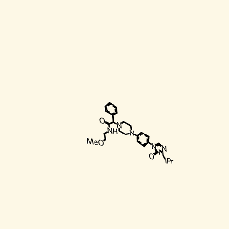 COCCNC(=O)C(c1ccccc1)N1CCN(c2ccc(-n3cnn(C(C)C)c3=O)cc2)CC1